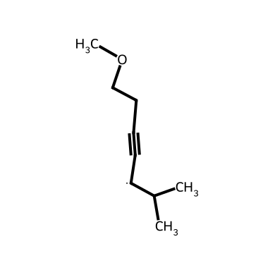 COCCC#C[CH]C(C)C